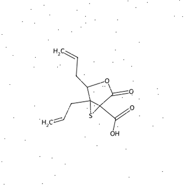 C=CCC1OC(=O)C2(C(=O)O)SC12CC=C